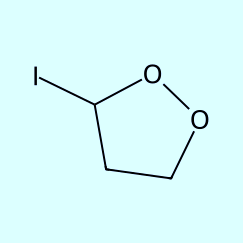 IC1CCOO1